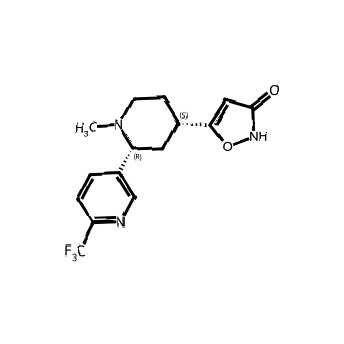 CN1CC[C@H](c2cc(=O)[nH]o2)C[C@@H]1c1ccc(C(F)(F)F)nc1